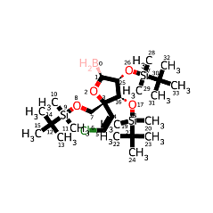 B[C@@H]1O[C@](/C=C\Cl)(CO[Si](C)(C)C(C)(C)C)[C@@H](O[Si](C)(C)C(C)(C)C)[C@H]1O[Si](C)(C)C(C)(C)C